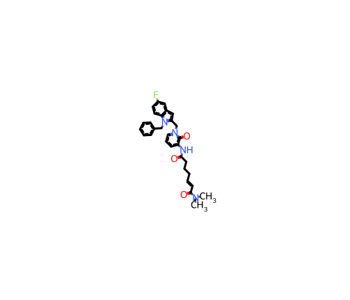 CN(C)C(=O)/C=C/CCCC(=O)Nc1cccn(Cc2cc3cc(F)ccc3n2Cc2ccccc2)c1=O